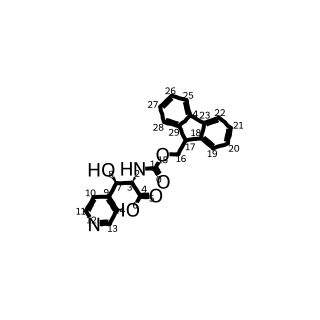 O=C(N[C@H](C(=O)O)[C@H](O)c1ccncc1)OCC1c2ccccc2-c2ccccc21